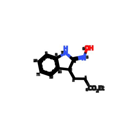 CCOC(=O)CCC1C(=NO)Nc2ccccc21